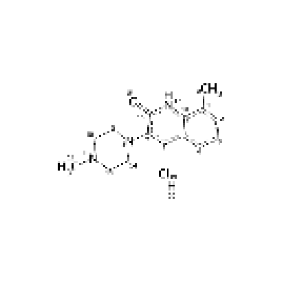 Cc1cccc2cc(N3CCN(C)CC3)c(=O)[nH]c12.[Cl-].[H+]